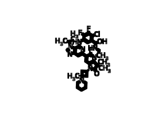 CCNC(O)c1cc(Nc2nc(-c3cc4c(nc3F)C(C)(C)C(=O)N4[C@H]3C[C@@](C)(N4CCCCC4)C3)cc3ncn(C(C)C)c23)c(F)c(F)c1Cl